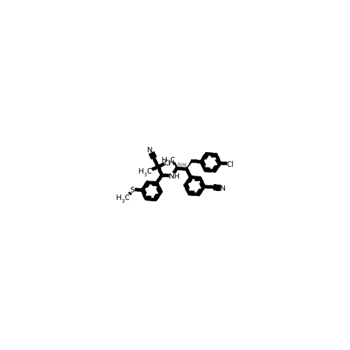 CSc1cccc(C(N[C@@H](C)[C@@H](Cc2ccc(Cl)cc2)c2cccc(C#N)c2)C(C)(C)C#N)c1